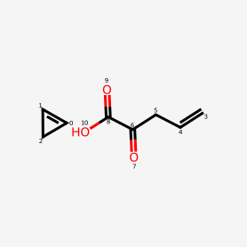 C1=CC1.C=CCC(=O)C(=O)O